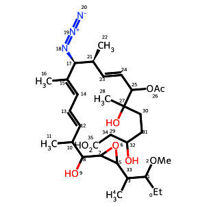 CCC(OC)C(C)C1OC1C(O)C(C)/C=C/C=C(\C)[C@@H](N=[N+]=[N-])[C@@H](C)/C=C/C(OC(C)=O)C(C)(O)CCC(O)CC(=O)O